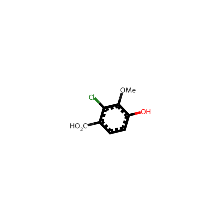 COc1c(O)ccc(C(=O)O)c1Cl